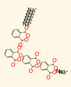 O=C([O-])c1ccccc1C(=O)[O-].O=C([O-])c1ccccc1C(=O)[O-].O=C([O-])c1ccccc1C(=O)[O-].O=C([O-])c1ccccc1C(=O)[O-].[Na+].[Na+].[Na+].[Na+].[Na+].[Na+].[Na+].[Na+]